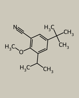 COc1c(C#N)cc(C(C)(C)C)cc1C(C)C